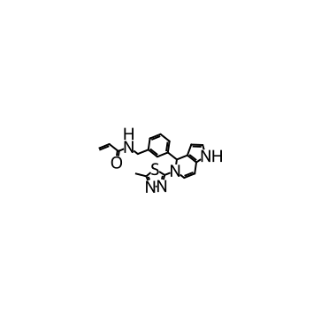 C=CC(=O)NCc1cccc(C2c3cc[nH]c3C=CN2c2nnc(C)s2)c1